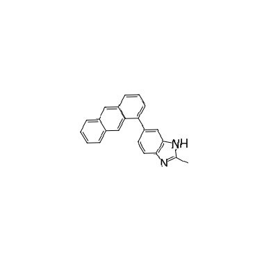 Cc1nc2ccc(-c3cccc4cc5ccccc5cc34)cc2[nH]1